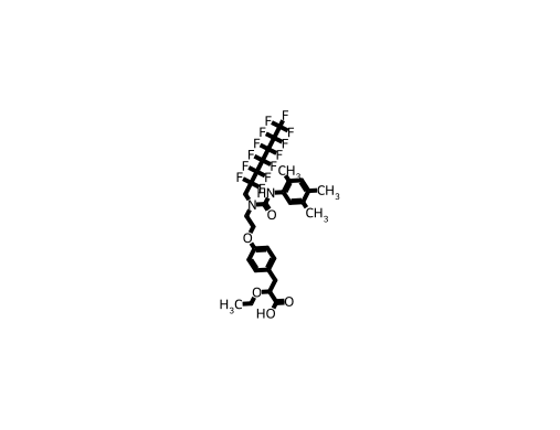 CCOC(Cc1ccc(OCCN(CC(F)(F)C(F)(F)C(F)(F)C(F)(F)C(F)(F)C(F)(F)F)C(=O)Nc2cc(C)c(C)cc2C)cc1)C(=O)O